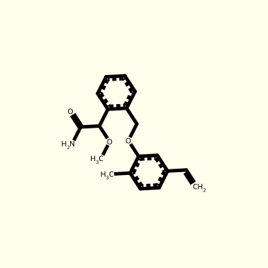 C=Cc1ccc(C)c(OCc2ccccc2C(OC)C(N)=O)c1